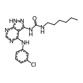 CCCCCCNC(=O)Nc1n[nH]c2ncnc(Nc3cccc(Cl)c3)c12